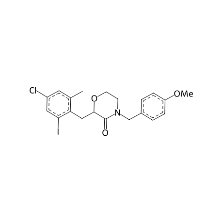 COc1ccc(CN2CCOC(Cc3c(C)cc(Cl)cc3I)C2=O)cc1